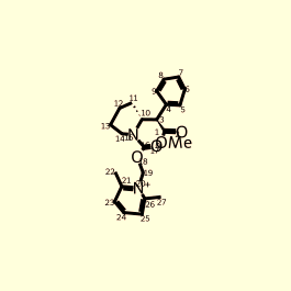 COC(=O)[C@H](c1ccccc1)[C@H]1CCCCN1C(=O)OC[n+]1c(C)cccc1C